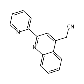 N#CCc1cc(-c2ccccn2)nc2ccccc12